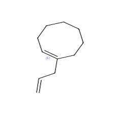 C=CC/C1=C/CCCCCC1